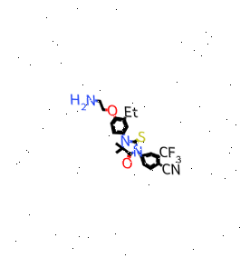 CCc1cc(N2C(=S)N(c3ccc(C#N)c(C(F)(F)F)c3)C(=O)C2(C)C)ccc1OCCN